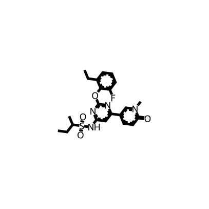 CCc1cccc(F)c1Oc1nc(NS(=O)(=O)C(C)CC)cc(-c2ccc(=O)n(C)c2)n1